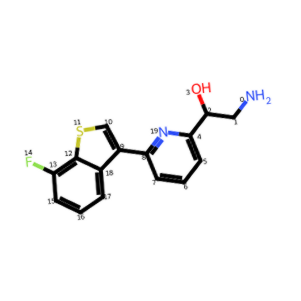 NCC(O)c1cccc(-c2csc3c(F)cccc23)n1